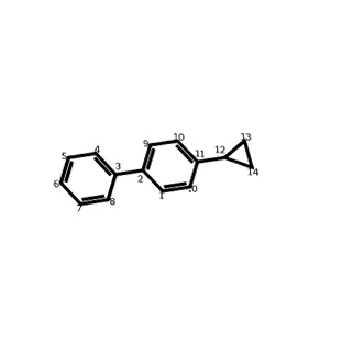 [c]1cc(-c2ccccc2)ccc1C1CC1